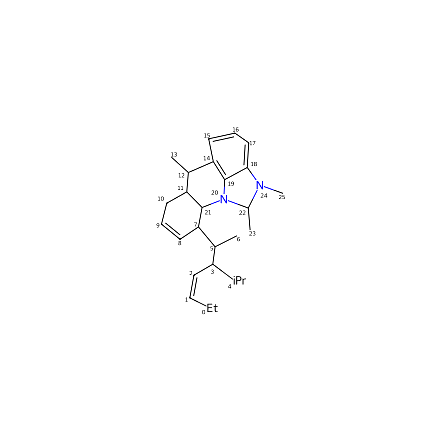 CC/C=C\C(C(C)C)C(C)C1C=CCC2C(C)c3cccc4c3N(C12)C(C)N4C